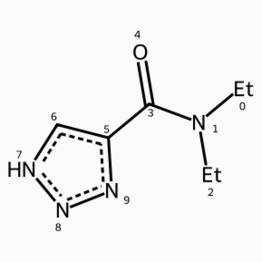 CCN(CC)C(=O)c1c[nH]nn1